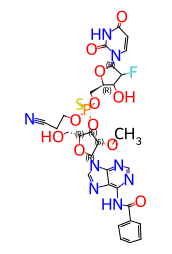 CO[C@H]1[C@@H](OP(=S)(OCCC#N)OC[C@H]2O[C@@H](n3ccc(=O)[nH]c3=O)C(F)C2O)[C@@H](CO)O[C@H]1n1cnc2c(NC(=O)c3ccccc3)ncnc21